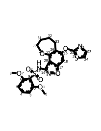 COc1cccc(OC)c1S(=O)(=O)Nc1noc2cc(Oc3nccs3)c3c(c12)OCCCC3